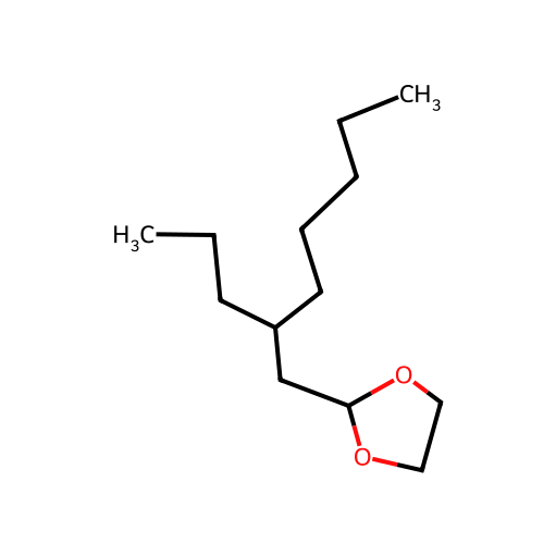 CCCCCC(CCC)CC1OCCO1